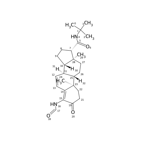 CC(C)(C)NC(=O)[C@H]1CC[C@H]2[C@@H]3C=CC4=C(NC=O)C(=O)CC[C@]4(C)[C@H]3CC[C@]12C